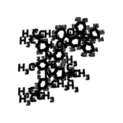 Cc1cc2c3c(c1)N(c1ccc(C(C)(C)C)cc1C)c1ccc(C(C)(C)C)cc1B3c1ccc(N3c4ccc([Si](c5ccccc5)(c5ccccc5)c5ccccc5)cc4C4(C)CCCCC34C)cc1N2c1ccc(C(C)(C)C)cc1